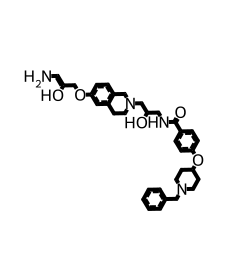 N/C=C(\O)COc1ccc2c(c1)CCN(CC(O)CNC(=O)c1ccc(OC3CCN(Cc4ccccc4)CC3)cc1)C2